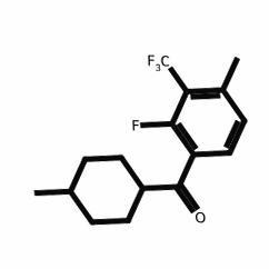 Cc1ccc(C(=O)C2CCC(C)CC2)c(F)c1C(F)(F)F